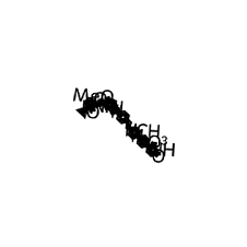 COc1cc2nn(C3CCC(CCN4CCN(c5ccc(C6CCC(=O)NC6=O)cc5)[C@H](C)C4)CC3)cc2cc1C(=O)Nc1cccn(C2CC2)c1=O